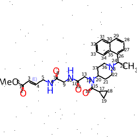 COC(=O)/C=C/CNC(=O)CNC(=O)CN(C(=O)C1CC1)C1CCN(C(C)c2cccc3ccccc23)CC1